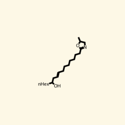 CCCCCCC(O)C/C=C/CCCCCCCC1=NCC(C)O1